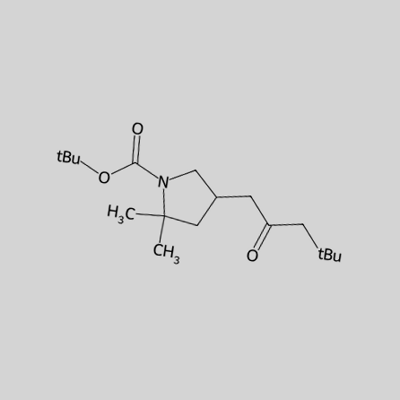 CC(C)(C)CC(=O)CC1CN(C(=O)OC(C)(C)C)C(C)(C)C1